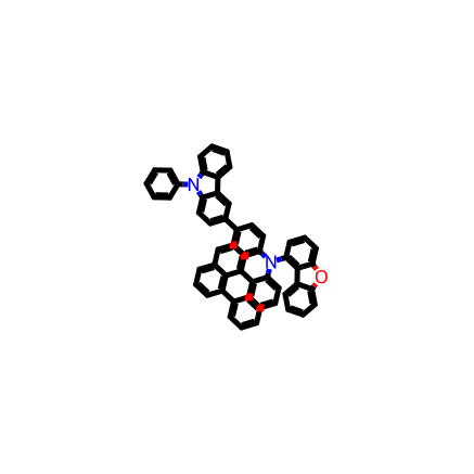 c1ccc(-c2cccc3cccc(-c4ccccc4N(c4ccc(-c5ccc6c(c5)c5ccccc5n6-c5ccccc5)cc4)c4cccc5oc6ccccc6c45)c23)cc1